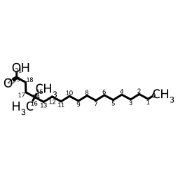 CCCCCCCCCCCCCCC(C)(C)CCC(=O)O